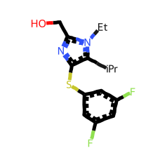 CCn1c(CO)nc(Sc2cc(F)cc(F)c2)c1C(C)C